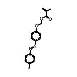 C=C(C)C(=O)OCOc1ccc(/N=N/c2ccc(C)cc2)cc1